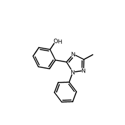 Cc1nc(-c2ccccc2O)n(-c2ccccc2)n1